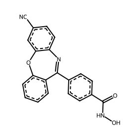 N#Cc1ccc2c(c1)Oc1ccccc1C(c1ccc(C(=O)NO)cc1)=N2